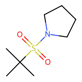 CC(C)(C)S(=O)(=O)N1CCCC1